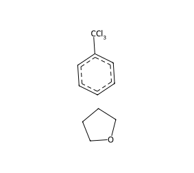 C1CCOC1.ClC(Cl)(Cl)c1ccccc1